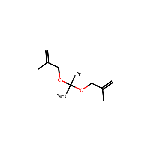 [CH2]CCC(C)C(OCC(=C)C)(OCC(=C)C)[C](C)C